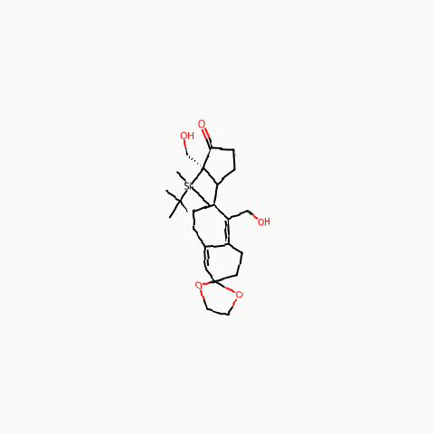 CC(C)(C)[Si](C)(C)[C@@]1(CO)C(=O)CCC1C1CCC2=CC3(CCC2=C1CO)OCCO3